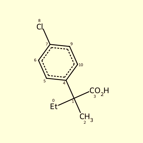 CCC(C)(C(=O)O)c1ccc(Cl)cc1